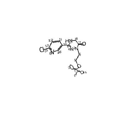 CS(=O)(=O)OCCN1N=C(c2ccc(Cl)nc2)NCC1=O